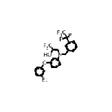 CCc1cccc(Oc2cccc(N(Cc3cccc(C(F)(F)C(F)(F)F)c3)CC(O)C(F)(F)F)c2)c1